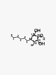 CCCCCCc1cc(O)c(OC)c(O)c1C